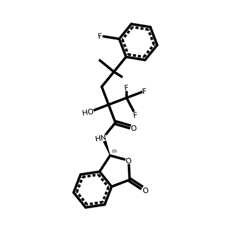 CC(C)(CC(O)(C(=O)N[C@H]1OC(=O)c2ccccc21)C(F)(F)F)c1ccccc1F